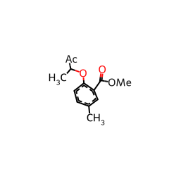 COC(=O)c1cc(C)ccc1OC(C)C(C)=O